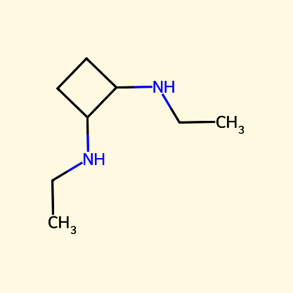 CCNC1CCC1NCC